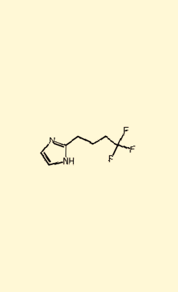 FC(F)(F)CCCc1ncc[nH]1